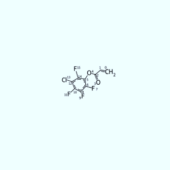 C=CC(=O)Oc1c(F)c(F)c(F)c(Cl)c1F